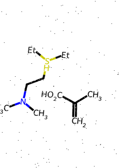 C=C(C)C(=O)O.CC[SH](CC)CCN(C)C